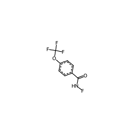 O=C(NF)c1ccc(OC(F)(F)F)cc1